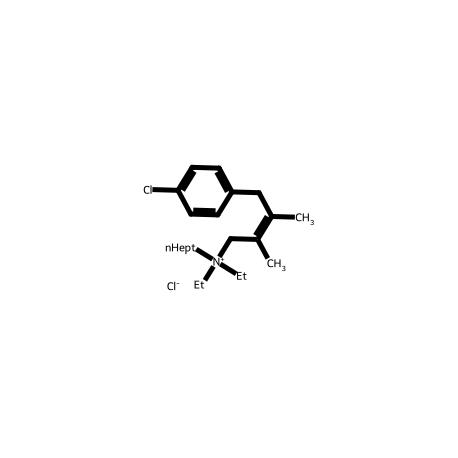 CCCCCCC[N+](CC)(CC)CC(C)=C(C)Cc1ccc(Cl)cc1.[Cl-]